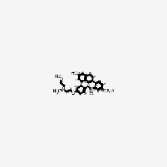 CCOCCN(C)CCOc1ccc(CN(CC)C2C=C(OC)C=CC2[C@@H]2CCc3cc(O)ccc3C2)cc1